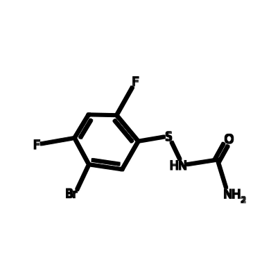 NC(=O)NSc1cc(Br)c(F)cc1F